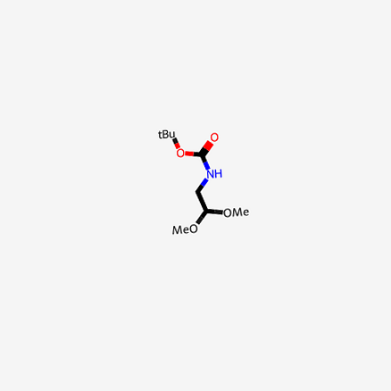 COC(CNC(=O)OC(C)(C)C)OC